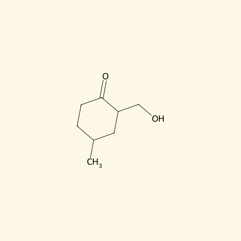 CC1CCC(=O)C(CO)C1